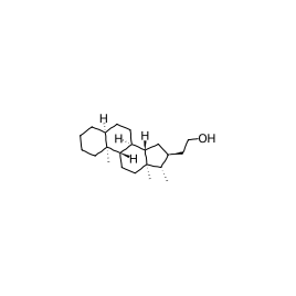 C[C@H]1[C@H](CCO)C[C@H]2[C@@H]3CC[C@@H]4CCCC[C@]4(C)[C@H]3CC[C@]12C